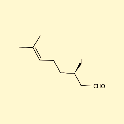 CC(C)=CCC[C@@H](I)CC=O